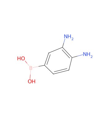 Nc1ccc(B(O)O)cc1N